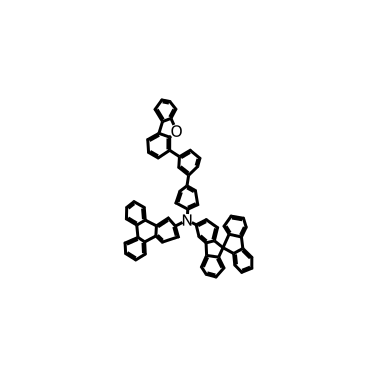 c1cc(-c2ccc(N(c3ccc4c(c3)-c3ccccc3C43c4ccccc4-c4ccccc43)c3ccc4c5ccccc5c5ccccc5c4c3)cc2)cc(-c2cccc3c2oc2ccccc23)c1